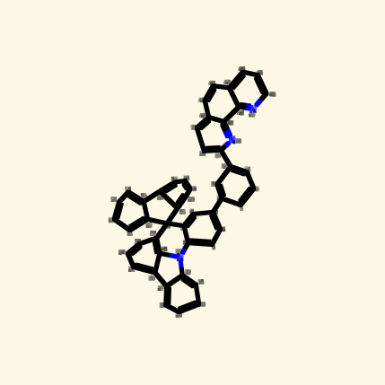 c1cc(-c2ccc3c(c2)C2(c4ccccc4-c4ccccc42)c2cccc4c5ccccc5n-3c24)cc(-c2ccc3ccc4cccnc4c3n2)c1